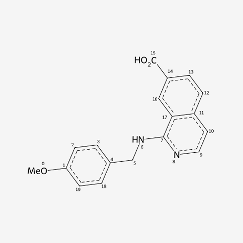 COc1ccc(CNc2nccc3ccc(C(=O)O)cc23)cc1